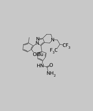 Cc1cccc(OCC(C)C)c1-n1nc2c(c1-c1ccc(NC(N)=O)cc1)CN(CC(C(F)(F)F)C(F)(F)F)CC2